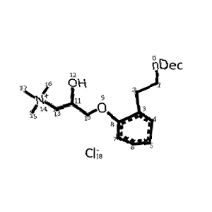 CCCCCCCCCCCCc1ccccc1OCC(O)C[N+](C)(C)C.[Cl-]